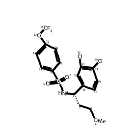 COCC[C@H](NS(=O)(=O)c1ccc(OC(F)(F)F)cc1)c1ccc(Cl)c(Cl)c1